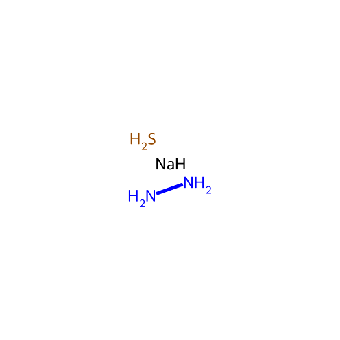 NN.S.[NaH]